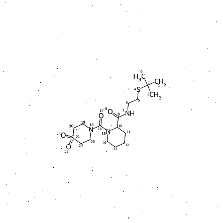 CC(C)(C)SCCNC(=O)C1CCCCN1C(=O)N1CCS(=O)(=O)CC1